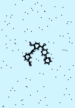 COc1ccc(C(=O)N2CCN(c3ncccn3)CC2)cc1C#Cc1cccc(C#N)c1